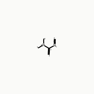 C=NC(=C)N(C)C